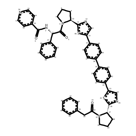 O=C(N[C@H](C(=O)N1CCC[C@H]1c1ncc(-c2ccc(-c3ccc(-c4cnc([C@@H]5CCCN5C(=O)Cc5ccccc5)s4)cc3)cc2)s1)c1ccccc1)c1ccncc1